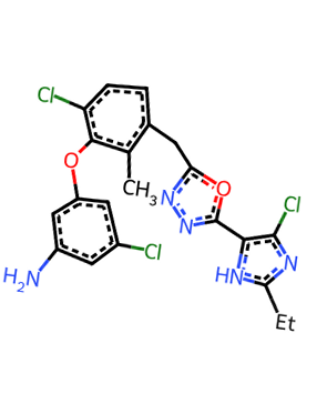 CCc1nc(Cl)c(-c2nnc(Cc3ccc(Cl)c(Oc4cc(N)cc(Cl)c4)c3C)o2)[nH]1